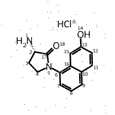 Cl.N[C@H]1CCN(c2cccc3ccc(O)cc23)C1=O